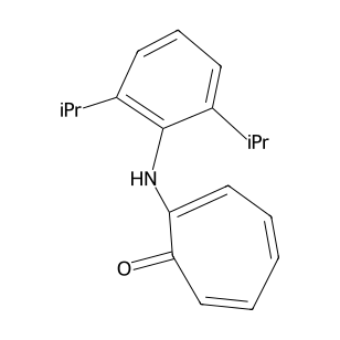 CC(C)c1cccc(C(C)C)c1Nc1cccccc1=O